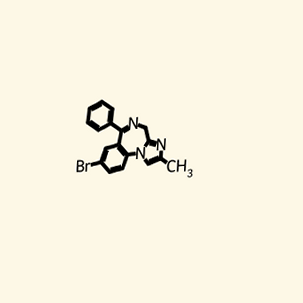 Cc1cn2c(n1)CN=C(c1ccccc1)c1cc(Br)ccc1-2